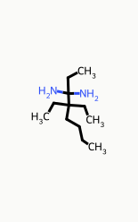 CCCCC(CC)(CC)C(N)(N)CC